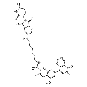 COc1cc(-c2cn(C)c(=O)c3cnccc23)cc(OC)c1CN(C)CC(=O)NCCCCCCNc1ccc2c(c1)C(=O)N(C1CCC(=O)NC1=O)C2=O